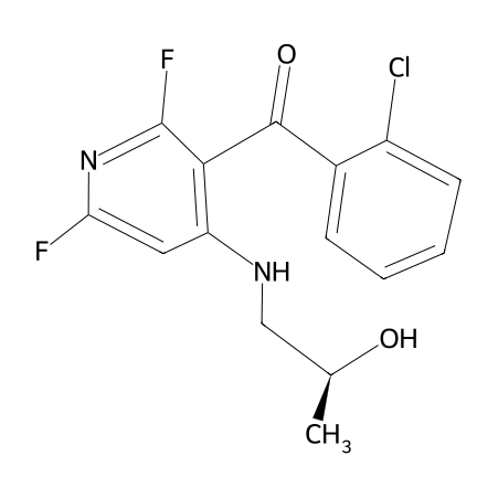 C[C@H](O)CNc1cc(F)nc(F)c1C(=O)c1ccccc1Cl